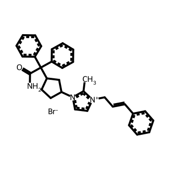 Cc1n(C2CCC(C(C(N)=O)(c3ccccc3)c3ccccc3)C2)cc[n+]1CC=Cc1ccccc1.[Br-]